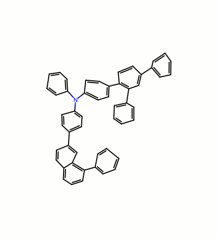 c1ccc(-c2ccc(-c3ccc(N(c4ccccc4)c4ccc(-c5ccc6cccc(-c7ccccc7)c6c5)cc4)cc3)c(-c3ccccc3)c2)cc1